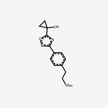 CCCCCCCCCCCCc1ccc(-c2noc(C3(C#N)CC3)n2)cc1